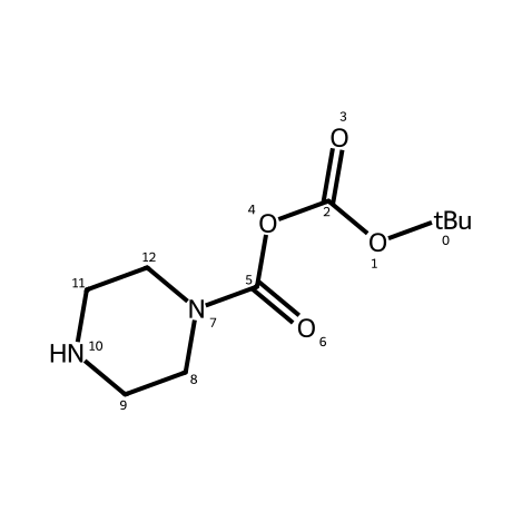 CC(C)(C)OC(=O)OC(=O)N1CCNCC1